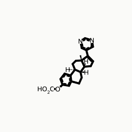 C[C@]12CC[C@@H]3c4ccc(OC(=O)O)cc4CC[C@H]3[C@@H]1CC=C2c1cncnc1